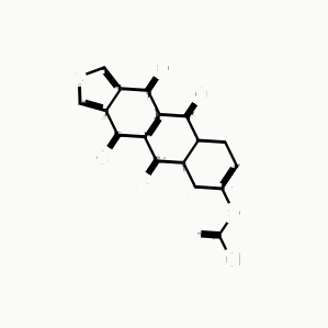 CC(=O)OC1=CCC2C(=O)C3=C(C(=O)c4cscc4C3=O)C(=O)C2C1